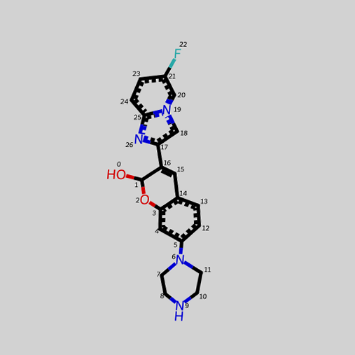 OC1Oc2cc(N3CCNCC3)ccc2C=C1c1cn2cc(F)ccc2n1